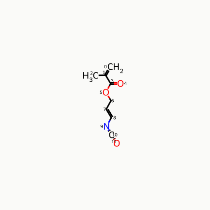 C=C(C)C(=O)OCC=CN=C=O